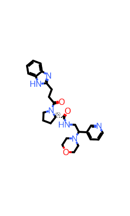 O=C(NCC(c1cccnc1)N1CCOCC1)[C@@H]1CCCN1C(=O)CCc1nc2ccccc2[nH]1